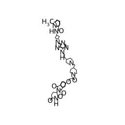 Cc1cccc(C(=O)NC2CC(n3cnc4c(NCCC5CCN(CC6CCN(C(=O)COc7ccc8c(c7)C(=O)N([C@H]7CCC(=O)NC7=O)C8=O)CC6)CC5)ncnc43)C2)n1